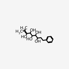 CC(C)=C(O)C(O)C(O)C(O)C(O)CCc1ccccc1